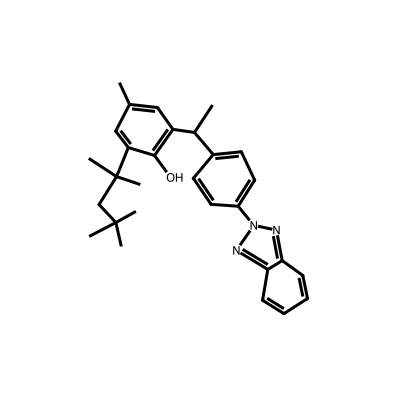 Cc1cc(C(C)c2ccc(-n3nc4ccccc4n3)cc2)c(O)c(C(C)(C)CC(C)(C)C)c1